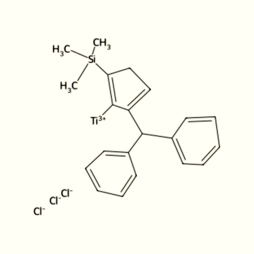 C[Si](C)(C)C1=[C]([Ti+3])C(C(c2ccccc2)c2ccccc2)=CC1.[Cl-].[Cl-].[Cl-]